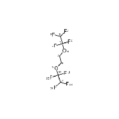 FC(F)C(F)(F)OCCOC(F)(F)C(F)F